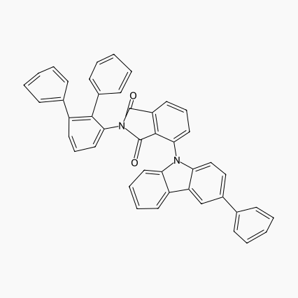 O=C1c2cccc(-n3c4ccccc4c4cc(-c5ccccc5)ccc43)c2C(=O)N1c1cccc(-c2ccccc2)c1-c1ccccc1